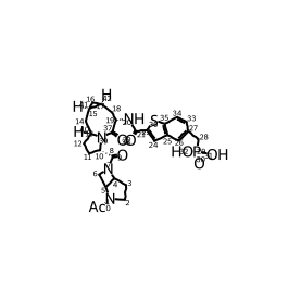 CC(=O)N1CCC2C1CN2C(=O)[C@@H]1CC[C@@H]2C[C@H]3C[C@H]3C[C@H](NC(=O)c3cc4cc(CP(=O)(O)O)ccc4s3)C(=O)N21